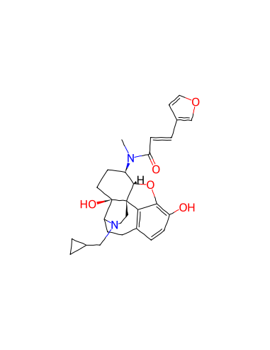 CN(C(=O)/C=C/c1ccoc1)[C@@H]1CC[C@@]2(O)C3CCc4ccc(O)c5c4[C@@]2(CCN3CC2CC2)[C@H]1O5